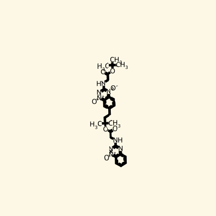 CC(C)(C)OC(=O)CNc1n[n+]([O-])c2cc(CCC(C)(C)OC(=O)CNc3nc4ccccc4[n+]([O-])n3)ccc2[n+]1[O-]